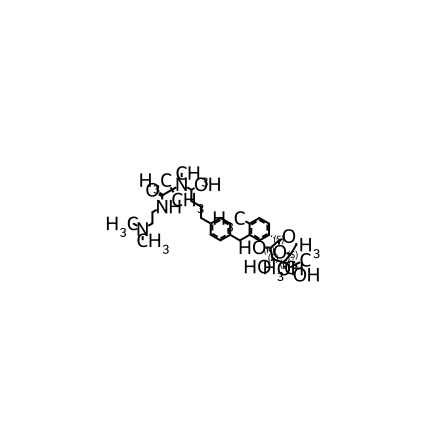 Cc1ccc([C@]23OC[C@](C(C)(C)O)(O2)[C@@H](O)[C@H](O)[C@H]3O)cc1Cc1ccc(CCCC(O)N(C)C(C)(C)C(=O)NCCN(C)C)cc1